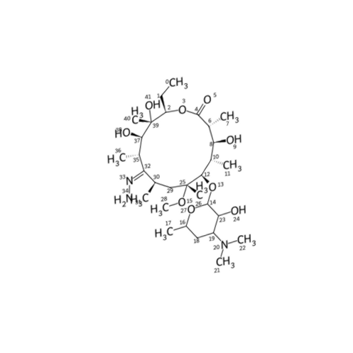 CC[C@H]1OC(=O)[C@H](C)[C@@H](O)[C@H](C)[C@@H](OC2OC(C)CC(N(C)C)C2O)[C@](C)(OC)C[C@@H](C)/C(=N\N)[C@H](C)[C@@H](O)[C@]1(C)O